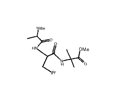 CNC(C)C(=O)NC(CC(C)C)C(=O)NC(C)(C)C(=O)OC